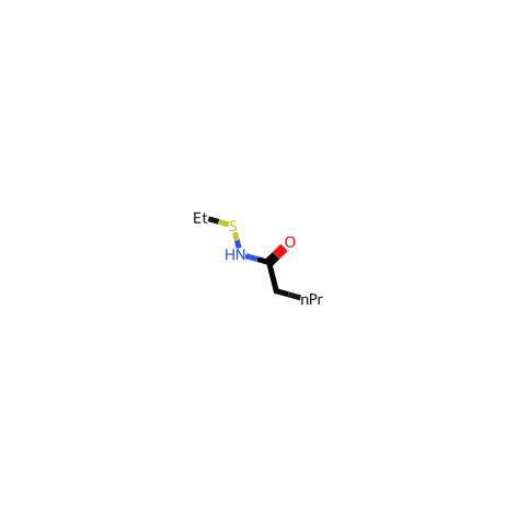 CCCCC(=O)NSCC